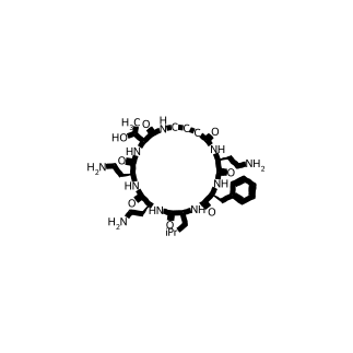 CC(C)CC1NC(=O)[C@H](Cc2ccccc2)NC(=O)[C@H](CCN)NC(=O)CCCNC(=O)C(C(C)O)NC(=O)[C@H](CCN)NC(=O)[C@H](CCN)NC1=O